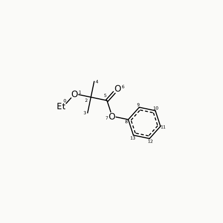 CCOC(C)(C)C(=O)Oc1ccccc1